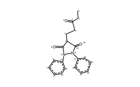 CCC(=O)CCC1C(=O)N(c2ccccc2)N(c2ccccc2)C1=O